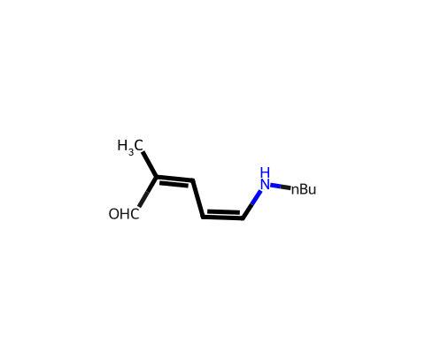 CCCCN/C=C\C=C(\C)C=O